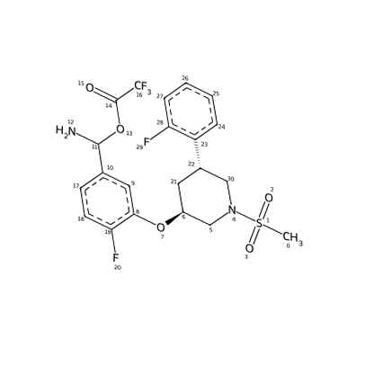 CS(=O)(=O)N1C[C@@H](Oc2cc(C(N)OC(=O)C(F)(F)F)ccc2F)C[C@H](c2ccccc2F)C1